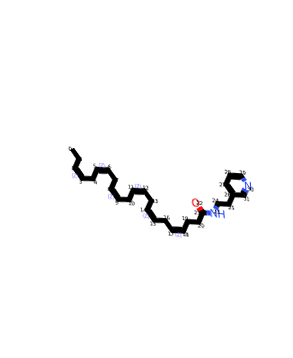 CC/C=C\C/C=C\C/C=C\C/C=C\C/C=C\C/C=C\CCC(=O)NCCc1cccnc1